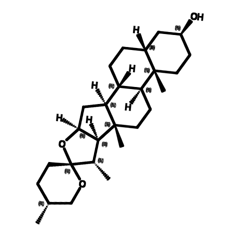 C[C@@H]1CC[C@@]2(OC1)O[C@H]1C[C@H]3[C@@H]4CC[C@@H]5C[C@@H](O)CC[C@]5(C)[C@H]4CC[C@]3(C)[C@H]1[C@@H]2C